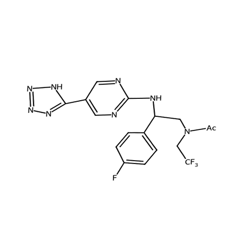 CC(=O)N(CC(Nc1ncc(-c2nnn[nH]2)cn1)c1ccc(F)cc1)CC(F)(F)F